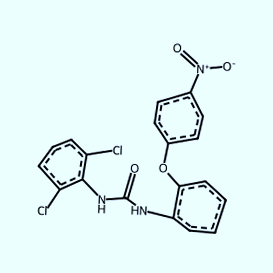 O=C(Nc1ccccc1Oc1ccc([N+](=O)[O-])cc1)Nc1c(Cl)cccc1Cl